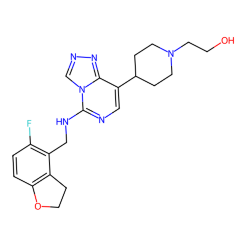 OCCN1CCC(c2cnc(NCc3c(F)ccc4c3CCO4)n3cnnc23)CC1